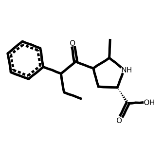 CCC(C(=O)C1C[C@@H](C(=O)O)NC1C)c1ccccc1